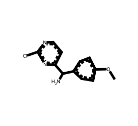 COc1ccc(C(N)c2ccnc(Cl)n2)cc1